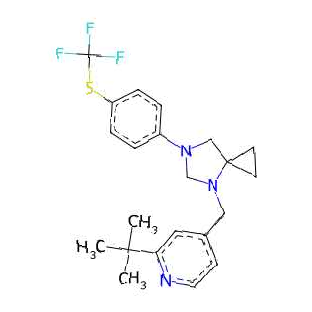 CC(C)(C)c1cc(CN2CN(c3ccc(SC(F)(F)F)cc3)CC23CC3)ccn1